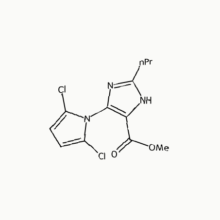 CCCc1nc(-n2c(Cl)ccc2Cl)c(C(=O)OC)[nH]1